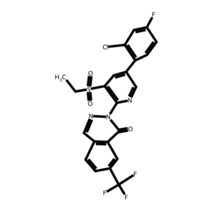 CCS(=O)(=O)c1cc(-c2ccc(F)cc2Cl)cnc1-n1ncc2ccc(C(F)(F)F)cc2c1=O